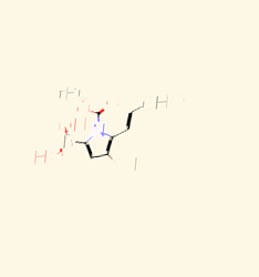 CC(C)(C)OC(=O)n1c(B(O)O)cc(S)c1C=CC=O